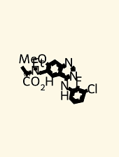 CCN(Cc1cc2c(Nc3cccc(Cl)c3F)ncnc2cc1OC)[C@H](C)C(=O)O